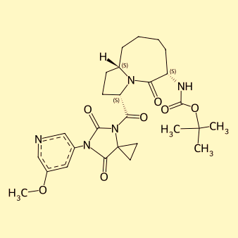 COc1cncc(N2C(=O)N(C(=O)[C@@H]3CC[C@@H]4CCCC[C@H](NC(=O)OC(C)(C)C)C(=O)N43)C3(CC3)C2=O)c1